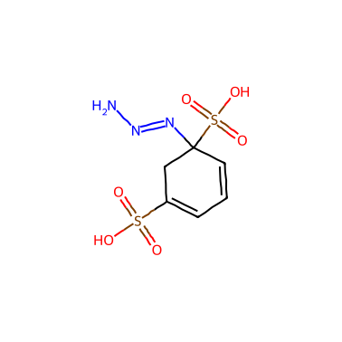 NN=NC1(S(=O)(=O)O)C=CC=C(S(=O)(=O)O)C1